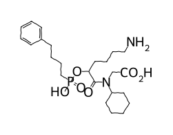 NCCCCC(OP(=O)(O)CCCCc1ccccc1)C(=O)N(CC(=O)O)C1CCCCC1